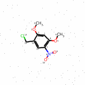 COc1cc(OC)c([N+](=O)[O-])cc1CCl